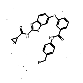 O=C(Nc1ccc(CF)cc1)c1cccc(Oc2ccc3nc(NC(=O)C4CC4)sc3c2)c1